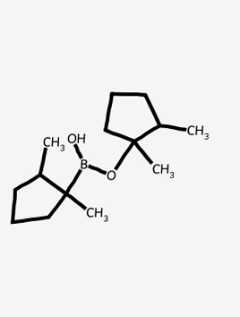 CC1CCCC1(C)OB(O)C1(C)CCCC1C